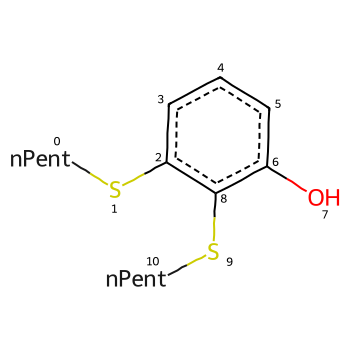 CCCCCSc1cccc(O)c1SCCCCC